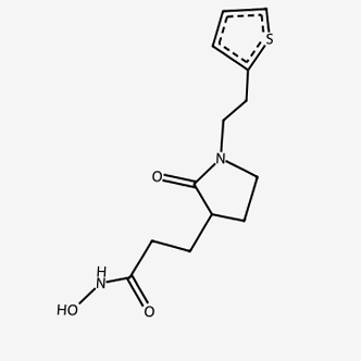 O=C(CCC1CCN(CCc2cccs2)C1=O)NO